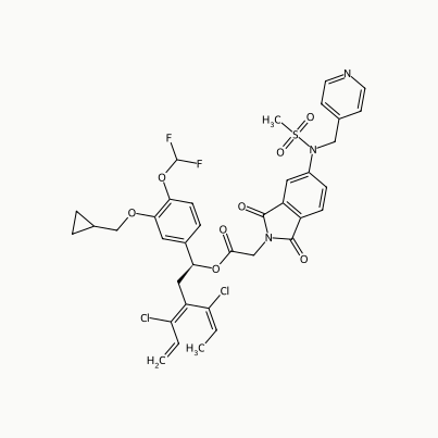 C=C/C(Cl)=C(C[C@H](OC(=O)CN1C(=O)c2ccc(N(Cc3ccncc3)S(C)(=O)=O)cc2C1=O)c1ccc(OC(F)F)c(OCC2CC2)c1)\C(Cl)=C/C